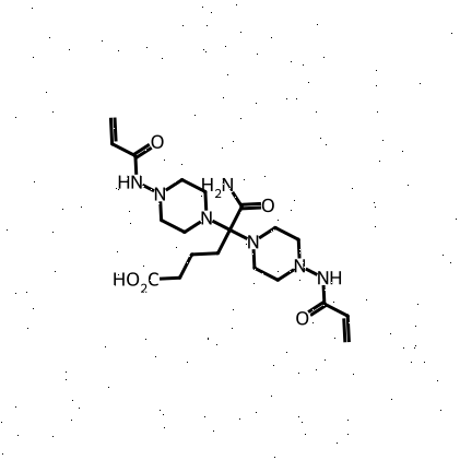 C=CC(=O)NN1CCN(C(CCCC(=O)O)(C(N)=O)N2CCN(NC(=O)C=C)CC2)CC1